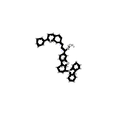 C=N/C(=C\C=C1\C=Cc2ccc(-c3ccccc3)nc2C1)c1ccc2c(c1)oc1c(-n3c4ccccc4c4ccccc43)cccc12